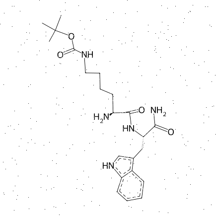 CC(C)(C)OC(=O)NCCCC[C@H](N)C(=O)N[C@@H](Cc1c[nH]c2ccccc12)C(N)=O